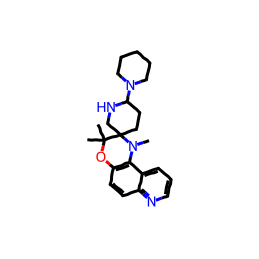 CN1c2c(ccc3ncccc23)OC(C)(C)C12CCC(N1CCCCC1)NC2